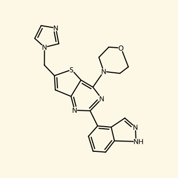 c1cc(-c2nc(N3CCOCC3)c3sc(Cn4ccnc4)cc3n2)c2cn[nH]c2c1